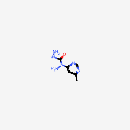 Cc1cc(N(N)C(=O)NN)ncn1